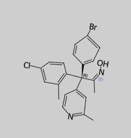 C/C(=N/O)[C@](c1ccc(Br)cc1)(c1ccnc(C)c1)c1ccc(Cl)cc1C